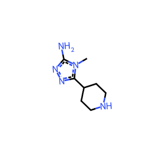 Cn1c(N)nnc1C1CCNCC1